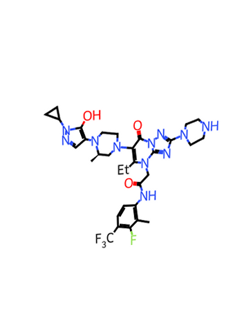 CCc1c(N2CCN(c3cnn(C4CC4)c3O)[C@H](C)C2)c(=O)n2nc(N3CCNCC3)nc2n1CC(=O)Nc1ccc(C(F)(F)F)c(F)c1C